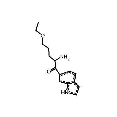 CCOCCCC(N)C(=O)c1ccc2[c]c[nH]c2c1